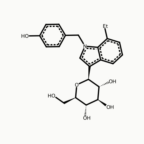 CCc1cccc2c([C@@H]3O[C@H](CO)[C@@H](O)[C@H](O)[C@H]3O)cn(Cc3ccc(O)cc3)c12